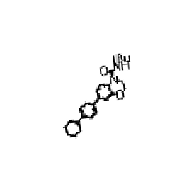 CC(C)(C)NC(=O)N1CCOc2cc(-c3ccc(C4CCCCC4)cc3)ccc21